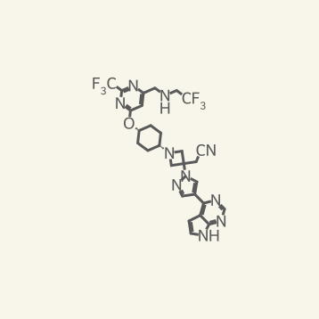 N#CCC1(n2cc(-c3ncnc4[nH]ccc34)cn2)CN([C@H]2CC[C@@H](Oc3cc(CNCC(F)(F)F)nc(C(F)(F)F)n3)CC2)C1